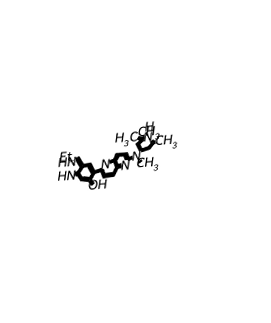 CCN/C=C1/C=C(c2ccc3nc(N(C)C4CC(C)NC(C)(C)C4)ccc3n2)C(O)=CC1=N